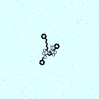 O=C(N[C@@H]1C(=O)C[C@@H](C(=O)OCc2ccccc2)N1C(=O)CCCCCc1ccccc1)c1ccccc1